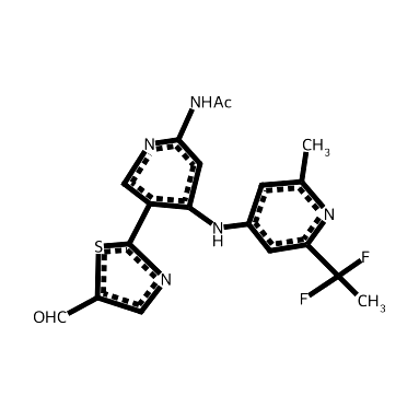 CC(=O)Nc1cc(Nc2cc(C)nc(C(C)(F)F)c2)c(-c2ncc(C=O)s2)cn1